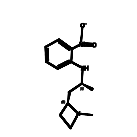 C[C@@H](C[C@@H]1CCN1C)Nc1ccccc1[N+](=O)[O-]